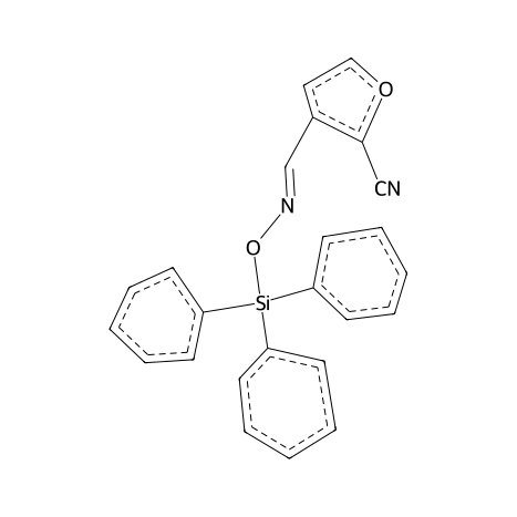 N#Cc1occc1C=NO[Si](c1ccccc1)(c1ccccc1)c1ccccc1